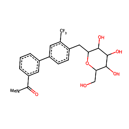 CNC(=O)c1cccc(-c2ccc(CC3OC(CO)C(O)C(O)C3O)c(C(F)(F)F)c2)c1